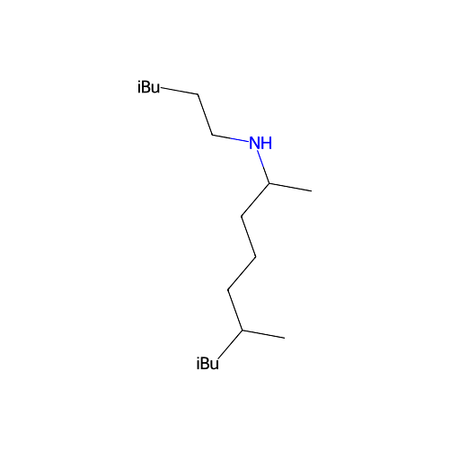 CCC(C)CCNC(C)CCCC(C)C(C)CC